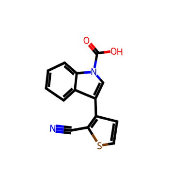 N#Cc1sccc1-c1cn(C(=O)O)c2ccccc12